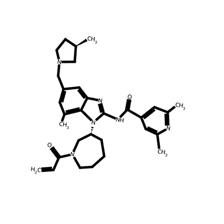 C=CC(=O)N1CCCC[C@@H](n2c(NC(=O)c3cc(C)nc(C)c3)nc3cc(CN4CC[C@@H](C)C4)cc(C)c32)C1